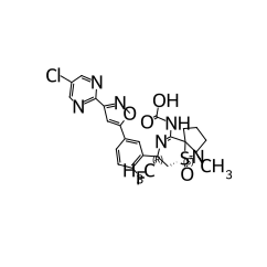 CN=[S@]1(=O)C[C@@](C)(c2cc(-c3cc(-c4ncc(Cl)cn4)no3)ccc2F)N=C(NC(=O)O)C12CCCC2